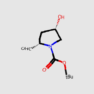 CC(C)(C)OC(=O)N1C[C@@H](O)C[C@H]1C=O